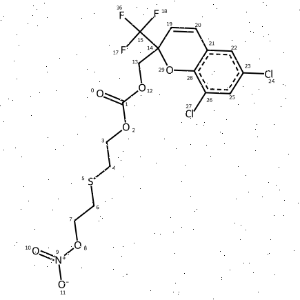 O=C(OCCSCCO[N+](=O)[O-])OCC1(C(F)(F)F)C=Cc2cc(Cl)cc(Cl)c2O1